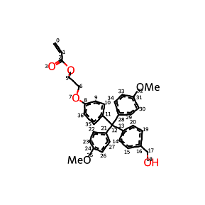 C=CC(=O)OCCOc1ccc(C(c2ccc(CO)cc2)(c2ccc(OC)cc2)c2ccc(OC)cc2)cc1